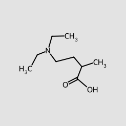 CCN(CC)CCC(C)C(=O)O